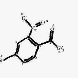 CC(=O)c1ccc(Br)cc1[N+](=O)[O-]